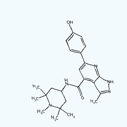 Cc1n[nH]c2nc(-c3ccc(O)cc3)cc(C(=O)NC3CC(C)(C)N(C)C(C)(C)C3)c12